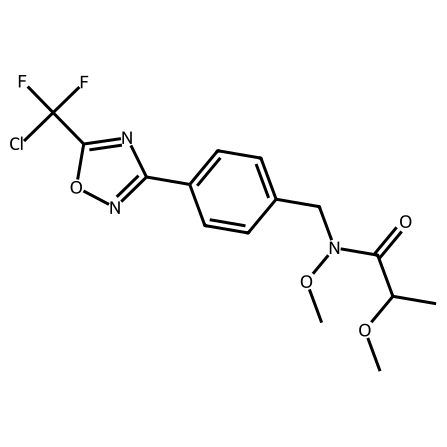 COC(C)C(=O)N(Cc1ccc(-c2noc(C(F)(F)Cl)n2)cc1)OC